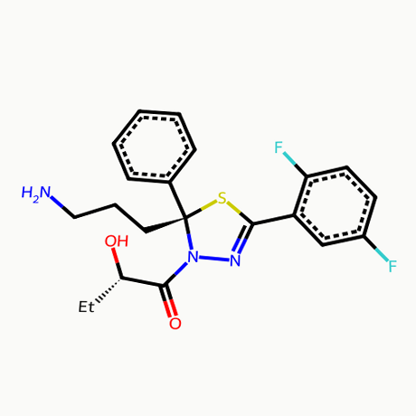 CC[C@H](O)C(=O)N1N=C(c2cc(F)ccc2F)S[C@@]1(CCCN)c1ccccc1